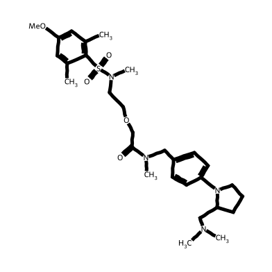 COc1cc(C)c(S(=O)(=O)N(C)CCOCC(=O)N(C)Cc2ccc(N3CCCC3CN(C)C)cc2)c(C)c1